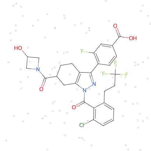 O=C(O)c1ccc(-c2nn(C(=O)c3c(Cl)cccc3CCC(F)(F)F)c3c2CCC(C(=O)N2CC(O)C2)C3)c(F)c1